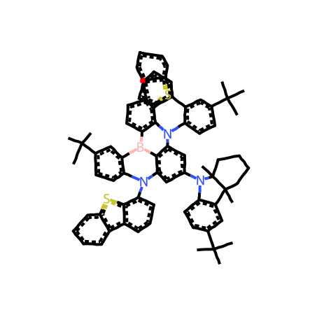 CC(C)(C)c1ccc2c(c1)B1c3ccc4c(sc5ccccc54)c3N(c3ccc(C(C)(C)C)cc3-c3ccccc3)c3cc(N4c5ccc(C(C)(C)C)cc5C5(C)CCCCC45C)cc(c31)N2c1cccc2c1sc1ccccc12